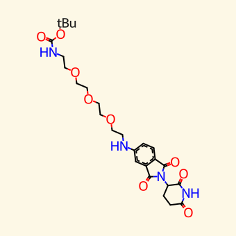 CC(C)(C)OC(=O)NCCOCCOCCOCCNc1ccc2c(c1)C(=O)N(C1CCC(=O)NC1=O)C2=O